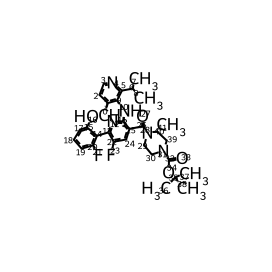 Cc1ccnc(C(C)C)c1Nc1nc(-c2c(O)cccc2F)c(F)cc1C(=O)N1CCN(C(=O)OC(C)(C)C)C[C@@H]1C